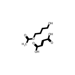 CC(=O)OCCCCO.O=C(O)C=CC(=O)O